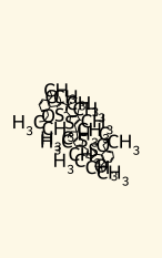 CCC(C)(c1sc(-c2sc(-c3c(OC)cccc3OC(C)C)c(C)c2C)c(C)c1C)c1sc(-c2sc(-c3c(OC)cccc3OC(C)C)c(C)c2C)c(C)c1C